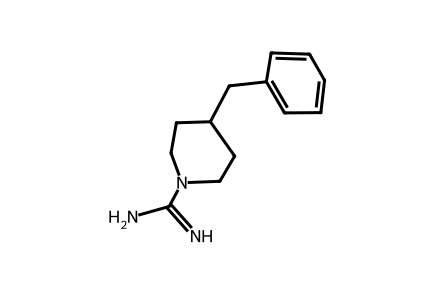 N=C(N)N1CCC(Cc2ccccc2)CC1